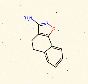 Nc1noc2c1CCc1ccccc1-2